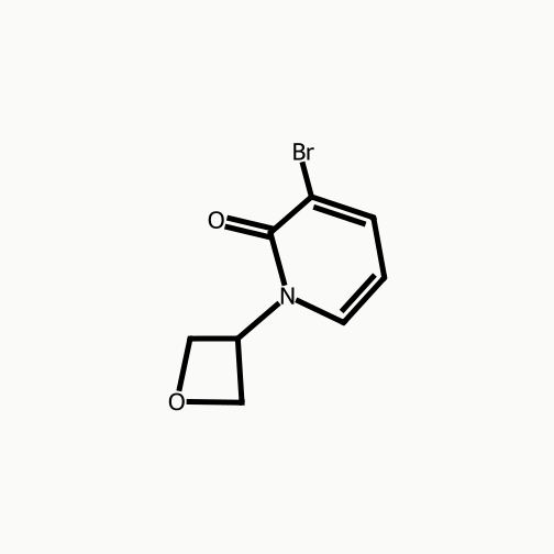 O=c1c(Br)cccn1C1COC1